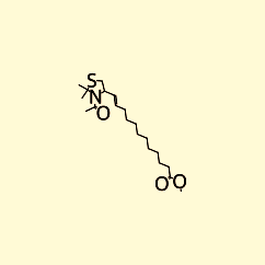 COC(=O)CCCCCCCCC/C=C/C1CSC(C)(C)N1C(C)=O